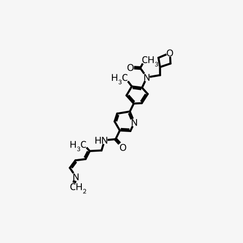 C=N/C=C\C=C(/C)CNC(=O)c1ccc(-c2ccc(N(CC3COC3)C(C)=O)c(C)c2)nc1